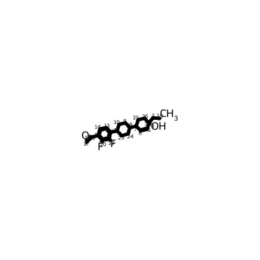 CCCC1(O)C=CC(C2CCC(c3ccc(C4CO4)c(F)c3F)CC2)CC1